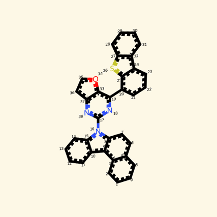 c1ccc2c(c1)ccc1c2c2ccccc2n1-c1nc(-c2cccc3c2sc2ccccc23)c2occc2n1